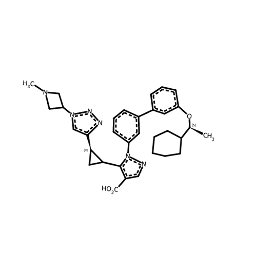 C[C@H](Oc1cccc(-c2cccc(-n3ncc(C(=O)O)c3C3C[C@H]3c3cn(C4CN(C)C4)nn3)c2)c1)C1CCCCC1